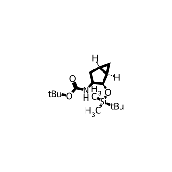 CC(C)(C)OC(=O)NC1C[C@H]2C[C@H]2[C@H]1O[Si](C)(C)C(C)(C)C